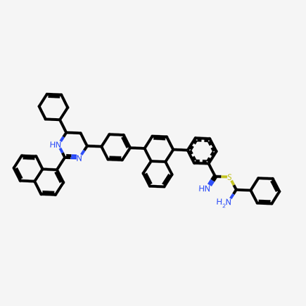 N=C(SC(N)C1C=CC=CC1)c1cccc(C2C=CC(C3=CCC(C4CC(C5CC=CCC5)NC(C5=CC=CC6C=CC=CC56)=N4)C=C3)C3C=CC=CC23)c1